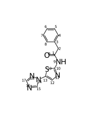 O=C(Cc1ccccc1)Nc1ncc(-n2cncn2)s1